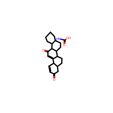 O=C1C=CC2C3=CC(=O)C4C(CCC5(NC(=O)O)CCCCC45)C3CCC2C1